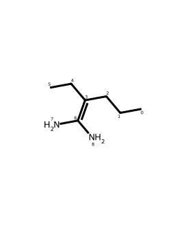 CCCC(CC)=C(N)N